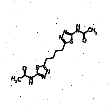 CC(=O)Nc1nnc(CCCCc2nnc(NC(C)=O)s2)s1